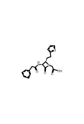 O=C(O)CN1C(=O)[C@@H](NC(=O)Cc2ccccc2)[C@H]1CCc1ccco1